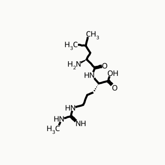 CNC(=N)NCCC[C@H](NC(=O)[C@@H](N)CC(C)C)C(=O)O